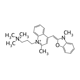 Cc1cc(/C=C2\Oc3ccccc3N2C)c2ccccc2[n+]1CCC[N+](C)(C)C